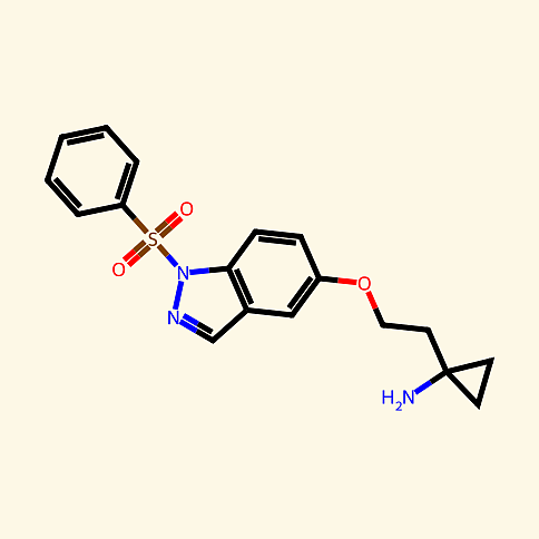 NC1(CCOc2ccc3c(cnn3S(=O)(=O)c3ccccc3)c2)CC1